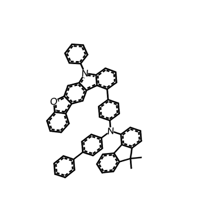 CC1(C)c2ccccc2-c2c(N(c3ccc(-c4ccccc4)cc3)c3ccc(-c4cccc5c4c4cc6c(cc4n5-c4ccccc4)oc4ccccc46)cc3)cccc21